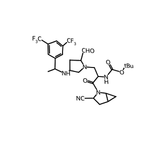 CC(NC1CC(C=O)N(CC(NC(=O)OC(C)(C)C)C(=O)N2C(C#N)CC3CC32)C1)c1cc(C(F)(F)F)cc(C(F)(F)F)c1